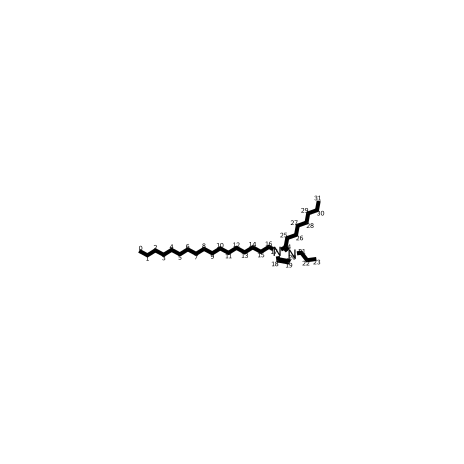 CCCCCCCCCCCCCCCCCn1cc[n+](CCC)c1CCCCCCC